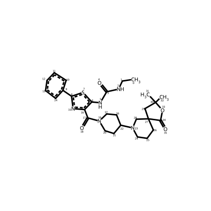 CCNC(=O)Nc1sc(-c2ccccc2)nc1C(=O)N1CCC(N2CCCC3(C2)CC(C)(C)OC3=O)CC1